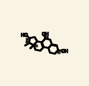 C[C@H]1[C@H](O)CC2C3=C(CC[C@@]21C)C1CC[C@H](O)C=C1C[C@@H]3O